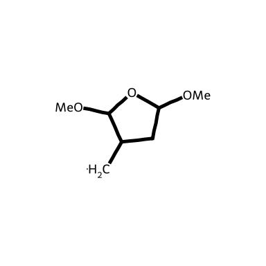 [CH2]C1CC(OC)OC1OC